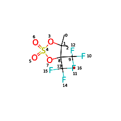 CC1(C)OS(=O)(=O)OC1(C(F)(F)F)C(F)(F)F